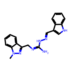 Cn1nc(CN=C(N)NN=Cc2c[nH]c3ccccc23)c2ccccc21